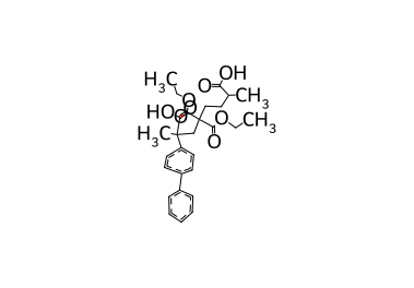 CCOC(=O)C(CCC(C)C(=O)O)(CC(C)(C(=O)O)c1ccc(-c2ccccc2)cc1)C(=O)OCC